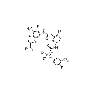 Cc1c(F)c(NC(=O)Cc2cc(NC(=O)[C@H]3[C@H](c4ccc(F)c(C(F)(F)F)c4)C3(Cl)Cl)ccc2Cl)cc(NC(=O)C(F)F)c1F